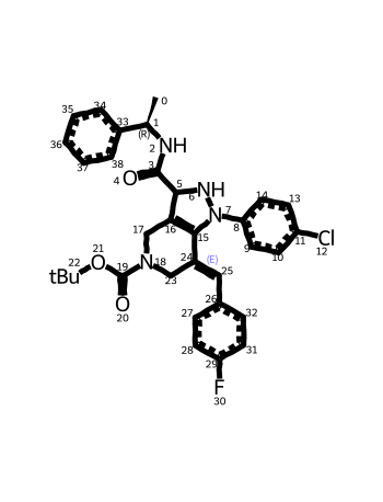 C[C@@H](NC(=O)C1NN(c2ccc(Cl)cc2)C2=C1CN(C(=O)OC(C)(C)C)C/C2=C\c1ccc(F)cc1)c1ccccc1